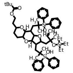 C=CC(C)(CC1OC2C(CC(C)(C)[Si](O)(c3ccccc3)c3ccccc3)[C@H]3OC(CCOC(=O)C(C)(C)C)CCC3O[C@H]2C1CC(C)(C)[Si](O)(c1ccccc1)c1ccccc1)O[Si](CC)(CC)CC